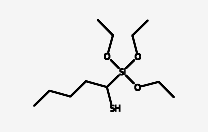 CCCCC(S)[Si](OCC)(OCC)OCC